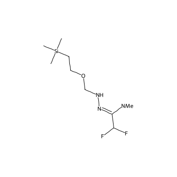 CN/C(=N\NCOCC[Si](C)(C)C)C(F)F